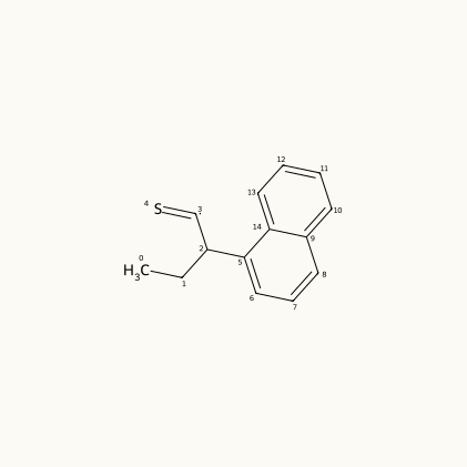 CCC([C]=S)c1cccc2ccccc12